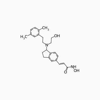 Cc1ccc(C)c(CCN(CCO)C2CCc3cc(/C=C/C(=O)NO)ccc32)c1